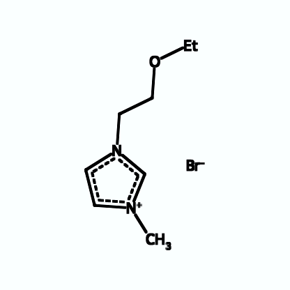 CCOCCn1cc[n+](C)c1.[Br-]